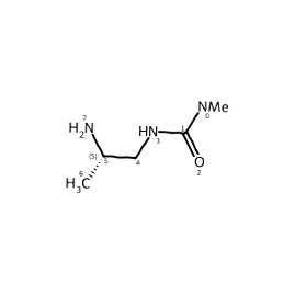 CNC(=O)NC[C@H](C)N